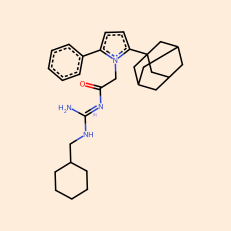 N/C(=N\C(=O)Cn1c(-c2ccccc2)ccc1C12CC3CC(CC(C3)C1)C2)NCC1CCCCC1